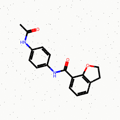 CC(=O)Nc1ccc(NC(=O)c2cccc3c2OCC3)cc1